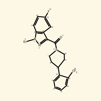 CCn1nc(C(=O)N2CCC(c3ccccc3C(F)(F)F)CC2)c2cc(F)ccc21